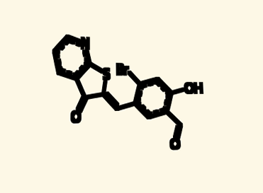 O=Cc1cc(/C=C2\Sc3ncccc3C2=O)c(Br)cc1O